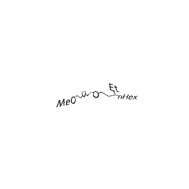 CCCCCCC(CC)CCOCCOCCOC